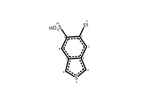 CCc1cc2[c]s[c]c2cc1S(=O)(=O)O